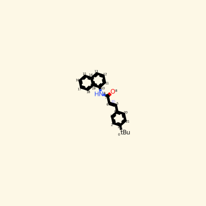 CC(C)(C)c1ccc(/C=C/C(=O)Nc2cccc3ccccc23)cc1